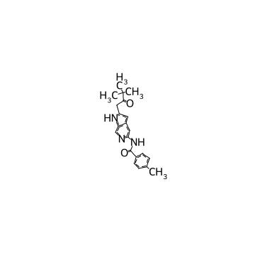 Cc1ccc(C(=O)Nc2cc3cc(CC(=O)C(C)(C)C)[nH]c3cn2)cc1